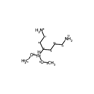 CO[SiH](OC)C(CCN)CCCN